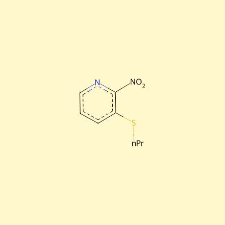 CCCSc1cccnc1[N+](=O)[O-]